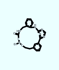 CCN1CCCc2cccc(c2)-c2ncnc(n2)Nc2ccccc2CNC(=O)C1